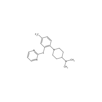 CN(C)C1CCN(c2ccc(C(F)(F)F)cc2Sc2ncccn2)CC1